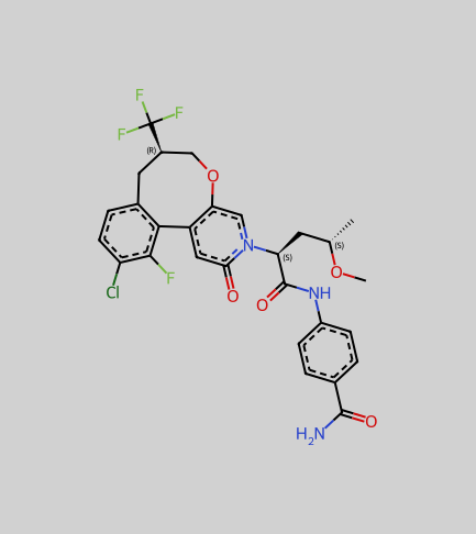 CO[C@@H](C)C[C@@H](C(=O)Nc1ccc(C(N)=O)cc1)n1cc2c(cc1=O)-c1c(ccc(Cl)c1F)C[C@@H](C(F)(F)F)CO2